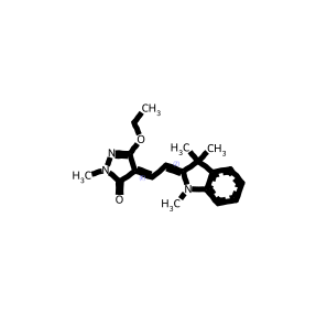 CCOC1=NN(C)C(=O)/C1=C/C=C1\N(C)c2ccccc2C1(C)C